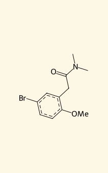 COc1ccc(Br)cc1CC(=O)N(C)C